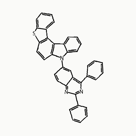 c1ccc(-c2nc(-c3ccccc3)c3cc(-n4c5ccccc5c5c6c(ccc54)sc4ccccc46)ccc3n2)cc1